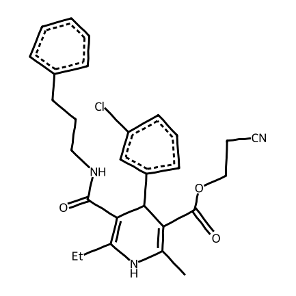 CCC1=C(C(=O)NCCCc2ccccc2)C(c2cccc(Cl)c2)C(C(=O)OCCC#N)=C(C)N1